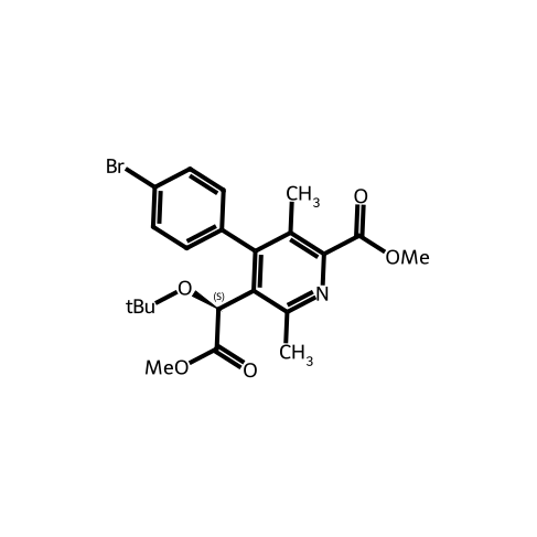 COC(=O)c1nc(C)c([C@H](OC(C)(C)C)C(=O)OC)c(-c2ccc(Br)cc2)c1C